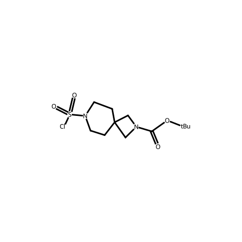 CC(C)(C)OC(=O)N1CC2(CCN(S(=O)(=O)Cl)CC2)C1